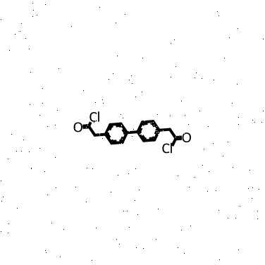 O=C(Cl)Cc1ccc(-c2ccc(CC(=O)Cl)cc2)cc1